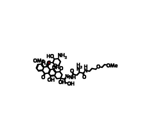 COCCOCCCNC(=O)C(N)CC(=O)NN=C(CO)[C@]1(O)Cc2c(O)c3c(c(O)c2[C@@H](O[C@H]2C[C@@H](N)[C@H](O)C(C)O2)C1)C(=O)c1c(OC)cccc1C3=O